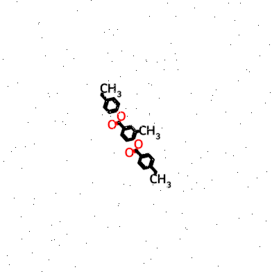 CCc1ccc(OC(=O)c2ccc(OC(=O)c3ccc(CC)cc3)c(C)c2)cc1